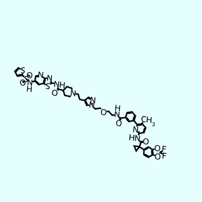 Cc1ccc(NC(=O)C2(c3ccc4c(c3)OC(F)(F)O4)CC2)nc1-c1cccc(C(=O)NCCOCCn2cc(CCN3CCC(C(=O)Nc4nc5ncc(NS(=O)(=O)c6cccs6)cc5s4)CC3)cn2)c1